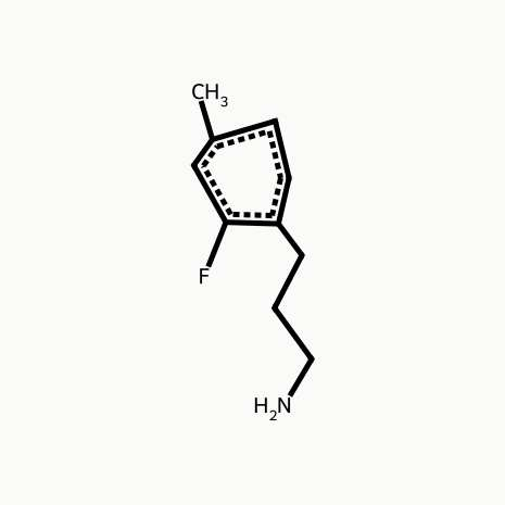 Cc1ccc(CCCN)c(F)c1